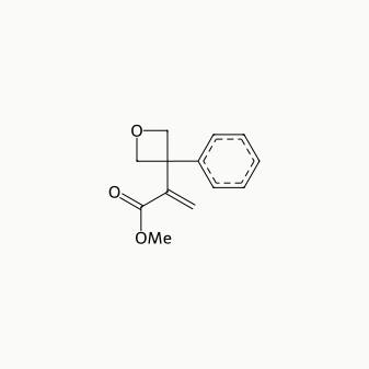 C=C(C(=O)OC)C1(c2ccccc2)COC1